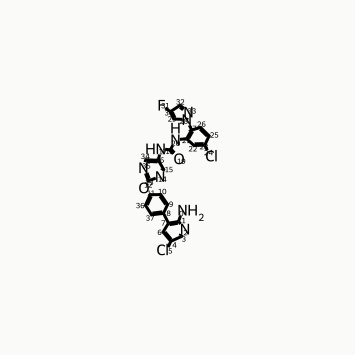 Nc1ncc(Cl)cc1-c1ccc(Oc2ncc(NC(=O)Nc3cc(Cl)ccc3-n3cc(F)cn3)cn2)cc1